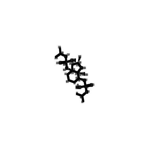 CC(C)OP(=O)(O)O[C@H]1CCC[C@@]2(OP(=O)(O)OC(C)C)C[C@H](C)O[C@@H]12